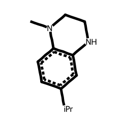 CC(C)c1ccc2c(c1)NCCN2C